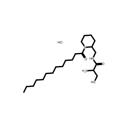 CCCCCCCCCCCCC(=O)N1CCCCC1CNC(=O)C(N)CO.Cl